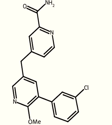 COc1ncc(Cc2ccnc(C(N)=O)c2)cc1-c1cccc(Cl)c1